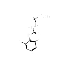 CCCCCCCCCC(=O)NNC(=S)Nc1c(F)cccc1Cl